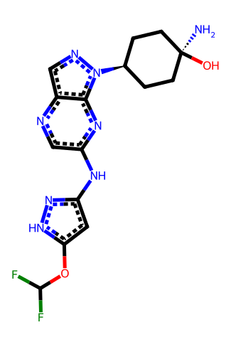 N[C@]1(O)CC[C@@H](n2ncc3ncc(Nc4cc(OC(F)F)[nH]n4)nc32)CC1